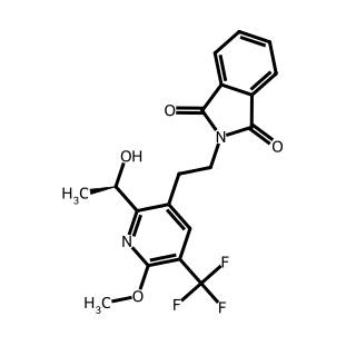 COc1nc([C@@H](C)O)c(CCN2C(=O)c3ccccc3C2=O)cc1C(F)(F)F